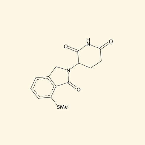 CSc1cccc2c1C(=O)N(C1CCC(=O)NC1=O)C2